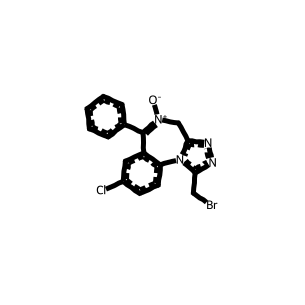 [O-][N+]1=C(c2ccccc2)c2cc(Cl)ccc2-n2c(CBr)nnc2C1